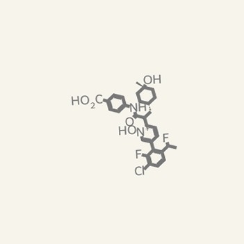 CC(F)c1ccc(Cl)c(F)c1-c1ccc(C(C[C@H]2CC[C@@](C)(O)CC2)C(=O)Nc2ccc(C(=O)O)cc2)[n+](O)c1